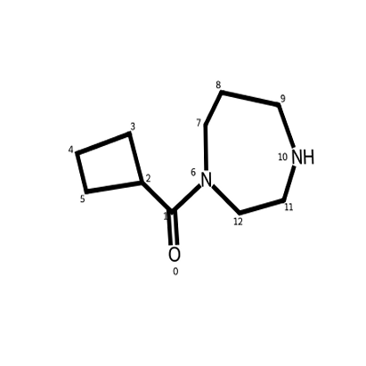 O=C(C1CCC1)N1CCCNCC1